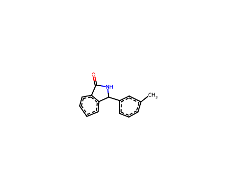 Cc1cccc(C2NC(=O)c3ccccc32)c1